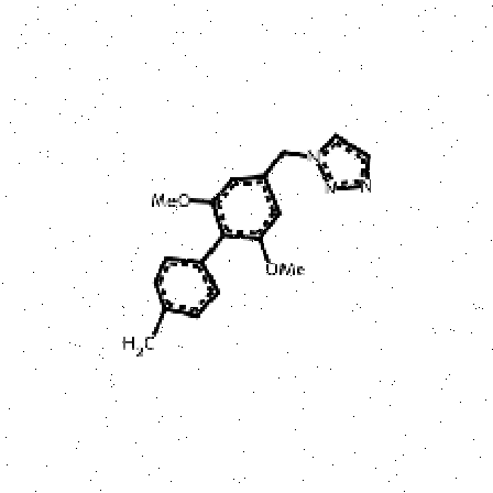 [CH2]c1ccc(-c2c(OC)cc(Cn3ccnn3)cc2OC)cc1